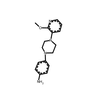 COc1ncccc1N1CCN(c2ccc(N)cc2)CC1